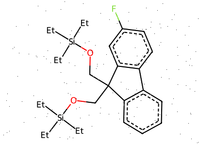 CC[Si](CC)(CC)OCC1(CO[Si](CC)(CC)CC)c2ccccc2-c2ccc(F)cc21